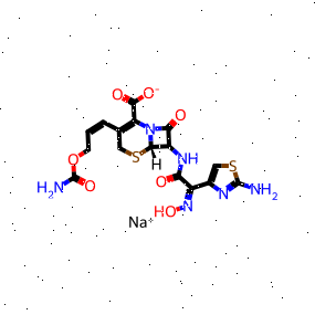 NC(=O)OC/C=C\C1=C(C(=O)[O-])N2C(=O)C(NC(=O)/C(=N\O)c3csc(N)n3)[C@@H]2SC1.[Na+]